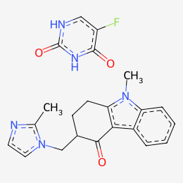 Cc1nccn1CC1CCc2c(c3ccccc3n2C)C1=O.O=c1[nH]cc(F)c(=O)[nH]1